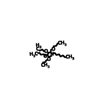 CCCCCCCN1CC(OCCCC)C(OCCCC)C(OCCCC)C1COCCCC